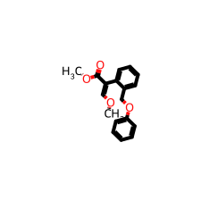 CO/C=C(/C(=O)OC)c1ccccc1COc1ccccc1